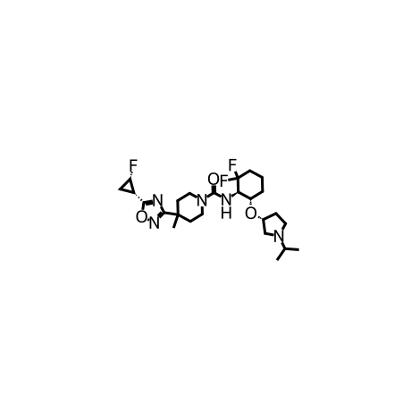 CC(C)N1CC[C@@H](O[C@H]2CCCC(F)(F)[C@@H]2NC(=O)N2CCC(C)(c3noc([C@@H]4C[C@@H]4F)n3)CC2)C1